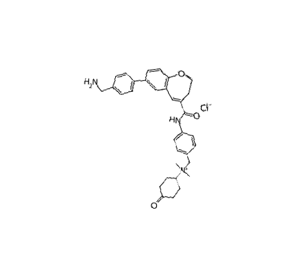 C[N+](C)(Cc1ccc(NC(=O)C2=Cc3cc(-c4ccc(CN)cc4)ccc3OCC2)cc1)C1CCC(=O)CC1.[Cl-]